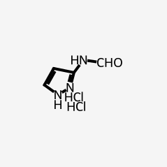 Cl.Cl.O=CNc1cc[nH]n1